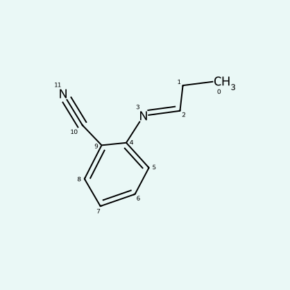 CCC=Nc1ccccc1C#N